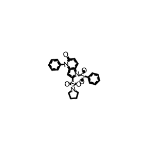 O=c1ccc2c(cc(S(=O)(=O)N3CCCC3)n2S(=O)(=O)c2ccccc2)n1-c1ccccc1